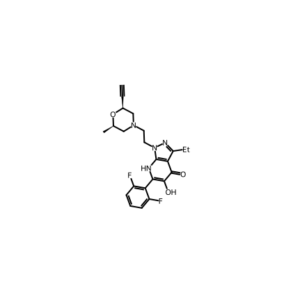 C#C[C@H]1CN(CCn2nc(CC)c3c(=O)c(O)c(-c4c(F)cccc4F)[nH]c32)C[C@@H](C)O1